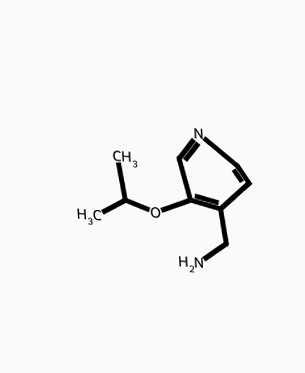 CC(C)Oc1cnccc1CN